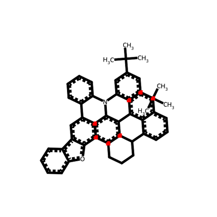 CC(C)(C)c1cc(N(c2ccccc2-c2ccc3oc4ccccc4c3c2)c2ccccc2-c2cccc3cccc(C4CCCCC4)c23)cc(C(C)(C)C)c1